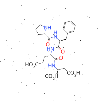 O=C(O)CC[C@H](NC(=O)[C@H](Cc1ccccc1)NC(=O)[C@@H]1CCCN1)C(=O)N[C@@H](CC(=O)O)C(=O)O